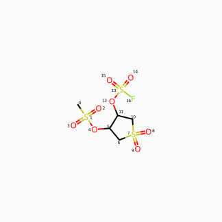 CS(=O)(=O)OC1CS(=O)(=O)CC1OS(=O)(=O)F